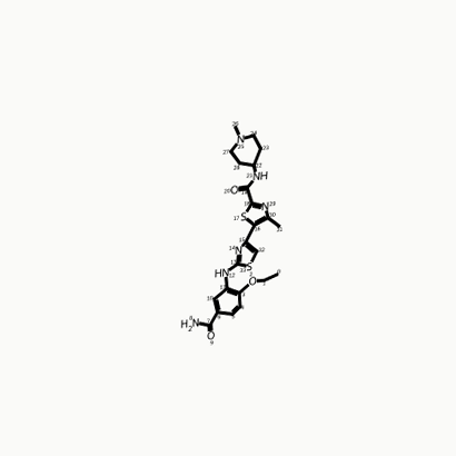 CCOc1ccc(C(N)=O)cc1Nc1nc(-c2sc(C(=O)NC3CCN(C)CC3)nc2C)cs1